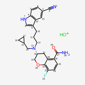 Cl.N#Cc1ccc2[nH]cc(CCCN(CC3CC3)[C@H]3COc4c(F)ccc(C(N)=O)c4C3)c2c1